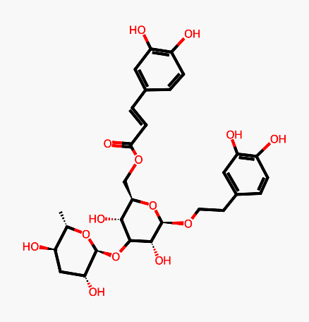 C[C@@H]1O[C@@H](OC2[C@@H](O)[C@H](OCCc3ccc(O)c(O)c3)O[C@H](COC(=O)/C=C/c3ccc(O)c(O)c3)[C@H]2O)[C@H](O)C[C@H]1O